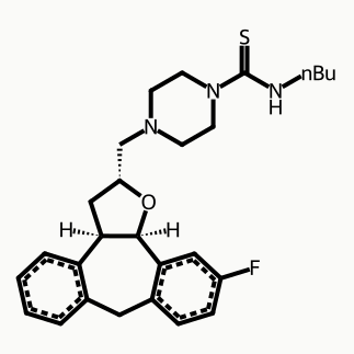 CCCCNC(=S)N1CCN(C[C@H]2C[C@@H]3c4ccccc4Cc4ccc(F)cc4[C@@H]3O2)CC1